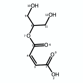 O=C(O)/C=C\C(=O)OC(CO)CO